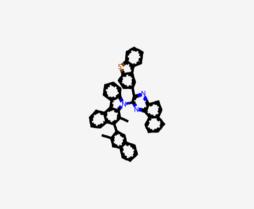 Cc1cc2ccccc2cc1-c1c(C)c2c(c3ccccc13)c1ccccc1n2-c1nc2c(ccc3ccccc32)nc1-c1ccc2sc3ccccc3c2c1